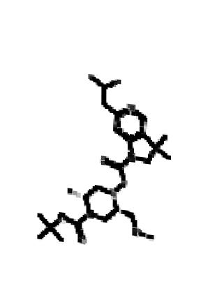 COC[C@H]1CN(C(=O)OC(C)(C)C)[C@H](C)CN1CC(=O)N1CC(C)(C)c2cnc(CC(C)C)cc21